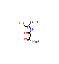 CCCCCCC[C@H](O)CC(=O)N[C@@H](CO)C(=O)O